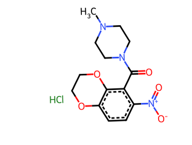 CN1CCN(C(=O)c2c([N+](=O)[O-])ccc3c2OCCO3)CC1.Cl